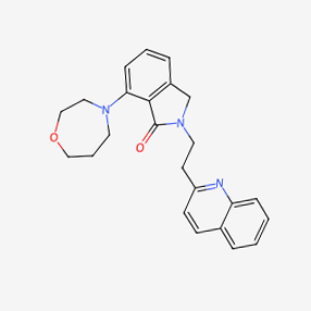 O=C1c2c(cccc2N2CCCOCC2)CN1CCc1ccc2ccccc2n1